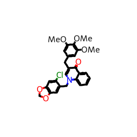 COc1cc(Cc2cn(Cc3cc4c(cc3Cl)OCO4)c3ccccc3c2=O)cc(OC)c1OC